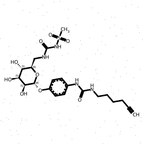 C#CCCCCNC(=O)Nc1ccc(O[C@H]2O[C@H](CNC(=O)NS(C)(=O)=O)[C@@H](O)[C@H](O)[C@@H]2O)cc1